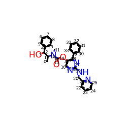 CC(C(O)c1ccccc1)N(C)C(=O)Oc1cnc(NCc2ccccn2)nc1-c1ccccc1